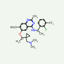 COc1cc2nc(C)nc(N[C@H](C)c3cccc(C(F)(F)F)c3F)c2cc1O[C@H](C)C1(CN(C)C)CC1